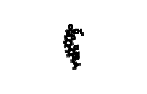 CN1C(=O)CN(CC2CC=C(c3ccc4c(nnn4CC4CC4)c3Cl)CC2)C1=O